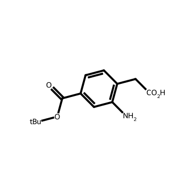 CC(C)(C)OC(=O)c1ccc(CC(=O)O)c(N)c1